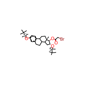 CC(C)(C)[Si](C)(C)Oc1ccc2c(c1)CCC1C2CC[C@@]2(C)C1C[C@@H](O[Si](C)(C)C(C)(C)C)[C@@H]2OC(=O)CBr